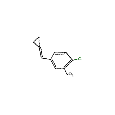 O=[N+]([O-])c1cc(C=C2CC2)ccc1Cl